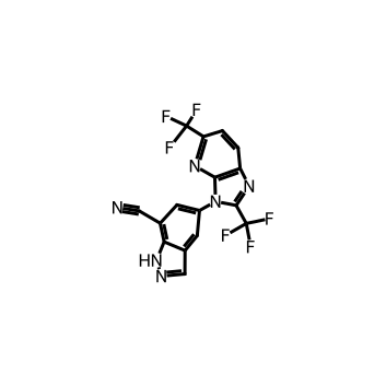 N#Cc1cc(-n2c(C(F)(F)F)nc3ccc(C(F)(F)F)nc32)cc2cn[nH]c12